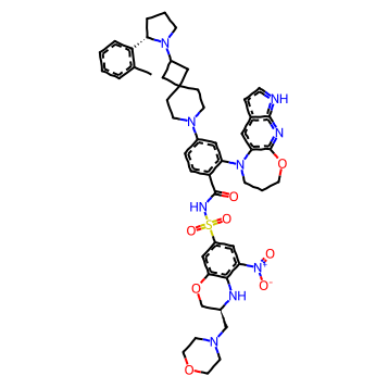 Cc1ccccc1[C@@H]1CCCN1C1CC2(CCN(c3ccc(C(=O)NS(=O)(=O)c4cc5c(c([N+](=O)[O-])c4)N[C@@H](CN4CCOCC4)CO5)c(N4CCCOc5nc6[nH]ccc6cc54)c3)CC2)C1